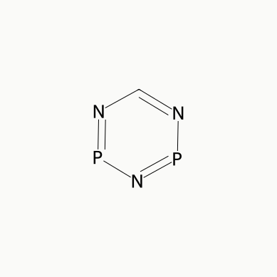 c1npnpn1